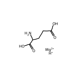 NC(CCC(=O)O)C(=O)O.[H+].[Mg+2]